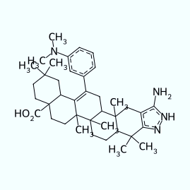 CN(C)c1cccc(C2=C3C4CC(C)(C)CCC4(C(=O)O)CCC3(C)C3(C)CCC4C(C)(C)c5n[nH]c(N)c5CC4(C)C3C2)c1